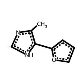 Cc1n[c][nH]c1-c1ccco1